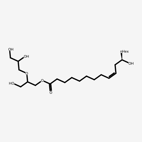 CCCCCC[C@@H](O)C/C=C\CCCCCCCC(=O)OCC(CO)OCC(O)CO